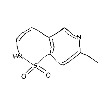 Cc1cc2c(cn1)C=CNS2(=O)=O